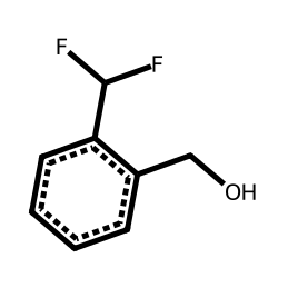 OCc1ccccc1C(F)F